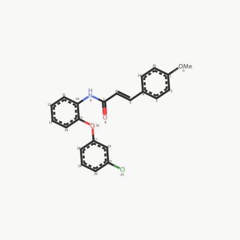 COc1ccc(/C=C/C(=O)Nc2ccccc2Oc2cccc(Cl)c2)cc1